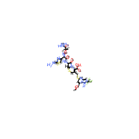 COCC1=CC(SCC2=C(C(=O)O)N3C(=O)C(NC(=O)/C(=N\OC(C)(C)C(=O)NN)c4csc(N)n4)[C@H]3SC2)=NC2=CN(C(F)(F)F)NN12